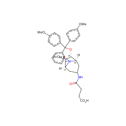 COc1ccc(C(O[C@H]2[C@@H](OC(C)=O)[C@@H]3CC(NC(=O)CCC(=O)O)C[C@H]2N3C)(c2ccccc2)c2ccc(OC)cc2)cc1